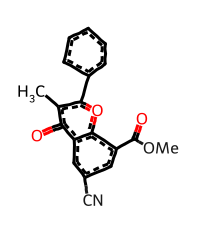 COC(=O)c1cc(C#N)cc2c(=O)c(C)c(-c3ccccc3)oc12